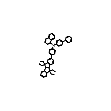 CCC1(CC)C2=C(c3ccccc31)C(CC)(CC)c1cc(-c3ccc(N(c4ccc(-c5ccccc5)cc4)c4cccc5ccccc45)cc3)ccc12